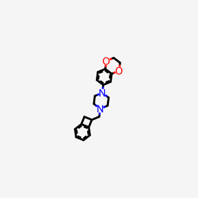 c1ccc2c(c1)CC2CN1CCN(c2ccc3c(c2)OCCO3)CC1